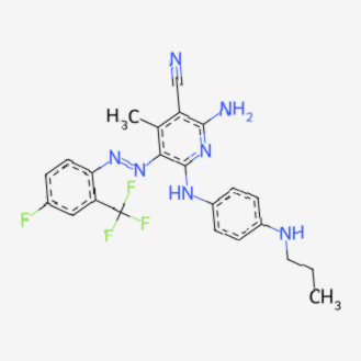 CCCNc1ccc(Nc2nc(N)c(C#N)c(C)c2/N=N/c2ccc(F)cc2C(F)(F)F)cc1